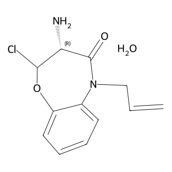 C=CCN1C(=O)[C@@H](N)C(Cl)Oc2ccccc21.O